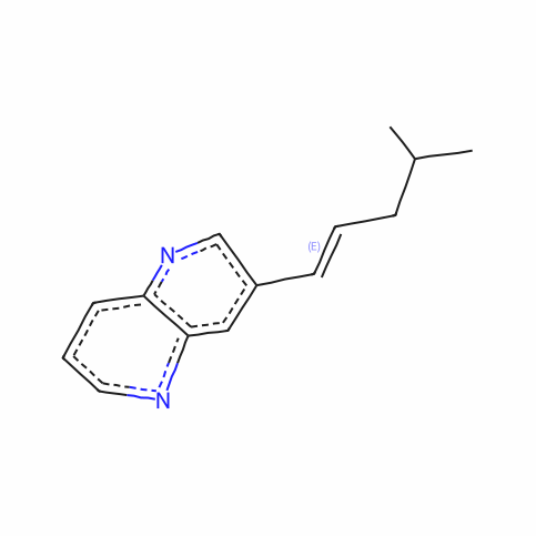 CC(C)C/C=C/c1cnc2cccnc2c1